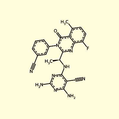 Cc1ccc(F)c2nc([C@H](C)Nc3nc(N)nc(N)c3C#N)n(-c3cccc(C#N)c3)c(=O)c12